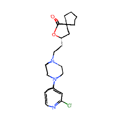 O=C1O[C@@H](CCN2CCN(c3ccnc(Cl)c3)CC2)CC12CCCC2